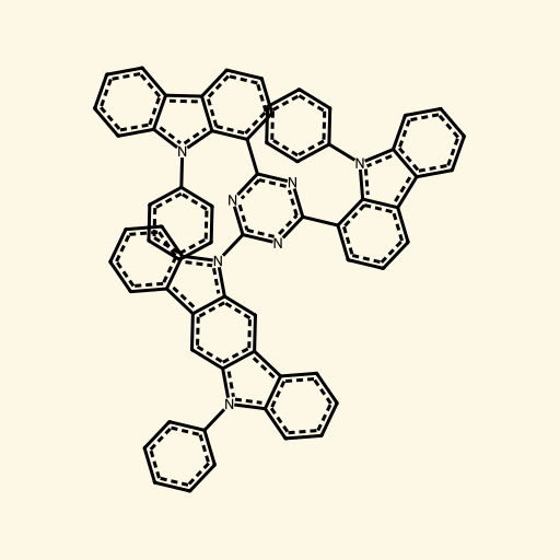 c1ccc(-n2c3ccccc3c3cc4c(cc32)c2ccccc2n4-c2nc(-c3cccc4c5ccccc5n(-c5ccccc5)c34)nc(-c3cccc4c5ccccc5n(-c5ccccc5)c34)n2)cc1